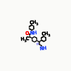 Cc1ccc(NC(=O)C(C)C2CCC(/C(=C/C=N)c3cccc(C)c3)CC2)cc1